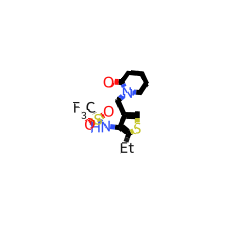 CCc1scc(CN2CCCCC2=O)c1NS(=O)(=O)C(F)(F)F